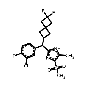 Cc1[nH]c(C(c2ccc(F)c(Cl)c2)C2CC3(C2)CC(F)(F)C3)nc1S(C)(=O)=O